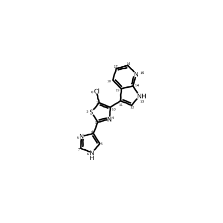 Clc1sc(-c2c[nH]cn2)nc1-c1c[nH]c2ncccc12